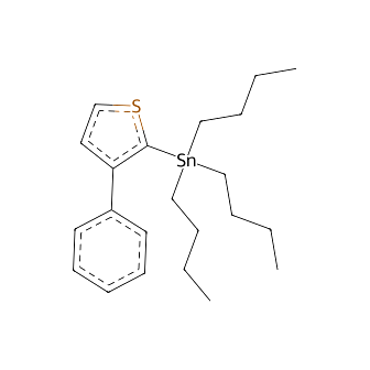 CCC[CH2][Sn]([CH2]CCC)([CH2]CCC)[c]1sccc1-c1ccccc1